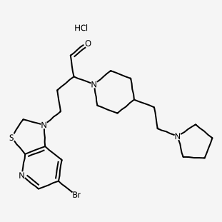 Cl.O=CC(CCN1CSc2ncc(Br)cc21)N1CCC(CCN2CCCC2)CC1